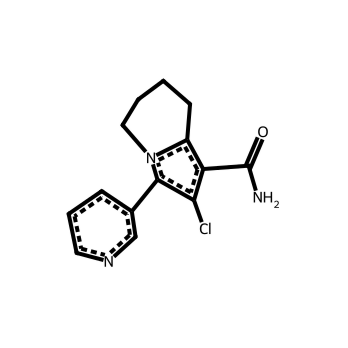 NC(=O)c1c(Cl)c(-c2cccnc2)n2c1CCCC2